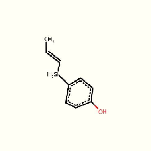 CC=C[SiH2]c1ccc(O)cc1